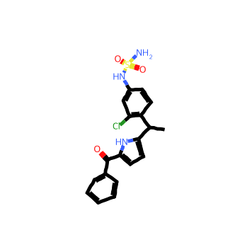 CC(c1ccc(C(=O)c2ccccc2)[nH]1)c1ccc(NS(N)(=O)=O)cc1Cl